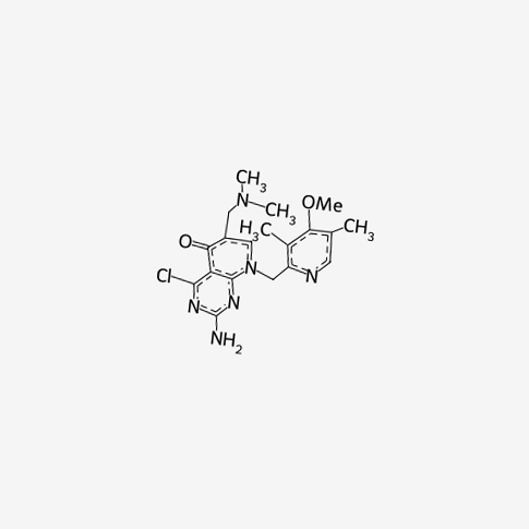 COc1c(C)cnc(Cn2cc(CN(C)C)c(=O)c3c(Cl)nc(N)nc32)c1C